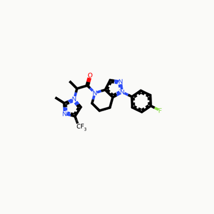 Cc1nc(C(F)(F)F)cn1C(C)C(=O)N1CCCc2c1cnn2-c1ccc(F)cc1